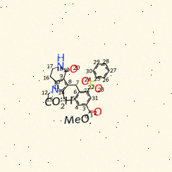 COC(=O)c1ccc(Cc2c3c(n(CC(=O)O)c2C)CCNC3=O)c(S(=O)(=O)c2ccccc2)c1